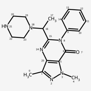 Cc1nn(C)c2c(=O)n(-c3ccccc3)c(C(C)N3CCNCC3)nc12